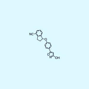 N#Cc1cccc2c1CCC2Oc1ccc(-c2cc(O)no2)cc1